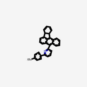 CC(C)(C)c1ccc(-c2cccc(-c3c4ccccc4c4c5c(cccc35)C3C=CC=CC43)n2)cc1